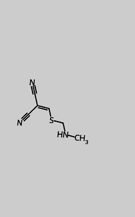 CNCSC=C(C#N)C#N